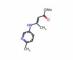 COC(=O)/C=C(\C)Nc1ccc(C)nc1